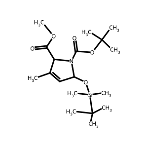 COC(=O)C1C(C)=CC(O[Si](C)(C)C(C)(C)C)N1C(=O)OC(C)(C)C